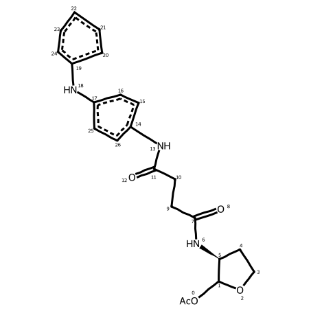 CC(=O)OC1OCC[C@@H]1NC(=O)CCC(=O)Nc1ccc(Nc2ccccc2)cc1